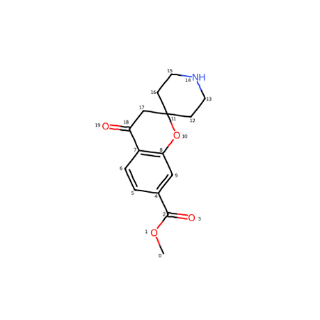 COC(=O)c1ccc2c(c1)OC1(CCNCC1)CC2=O